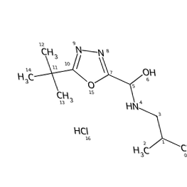 CC(C)CNC(O)c1nnc(C(C)(C)C)o1.Cl